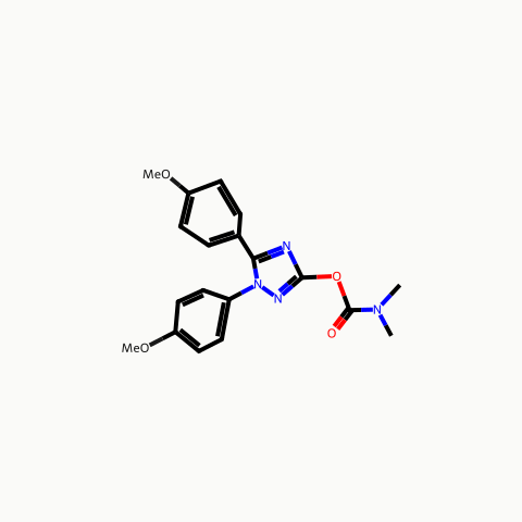 COc1ccc(-c2nc(OC(=O)N(C)C)nn2-c2ccc(OC)cc2)cc1